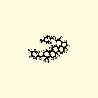 CC(=COC1N=CC(=S)C=N1)C1CCC2(C)CCC3C(CCC4C3(C)CCC3C(C)(C)C(OC5N=CC(=S)C=N5)CCC34C)C12